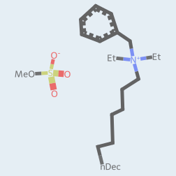 CCCCCCCCCCCCCCCC[N+](CC)(CC)Cc1ccccc1.COS(=O)(=O)[O-]